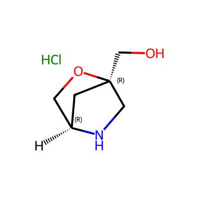 Cl.OC[C@@]12CN[C@@H](CO1)C2